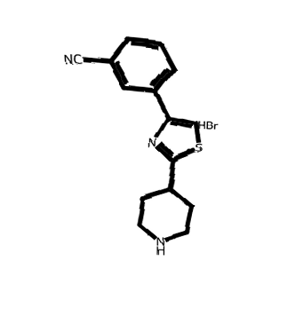 Br.N#Cc1cccc(-c2csc(C3CCNCC3)n2)c1